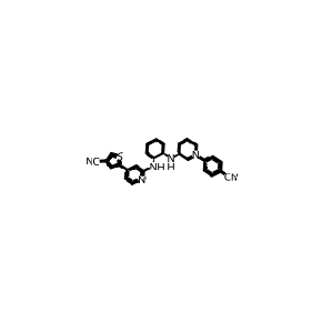 N#Cc1ccc(N2CCC[C@H](N[C@@H]3CCCC[C@H]3Nc3cc(-c4cc(C#N)cs4)ccn3)C2)cc1